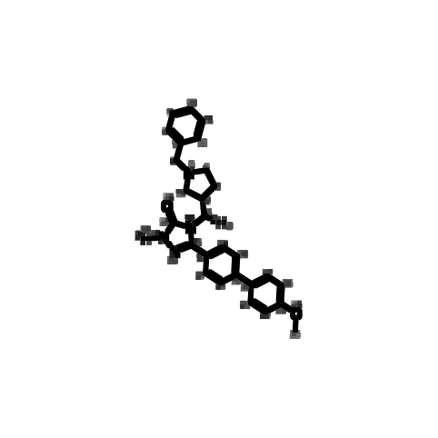 [2H]C([C@@H]1CCN(Cc2ccccc2)C1)n1c(-c2ccc(-c3ccc(OC)cc3)cc2)nn([2H])c1=O